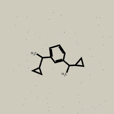 CC(c1cccc(C(C)C2CC2)c1)C1CC1